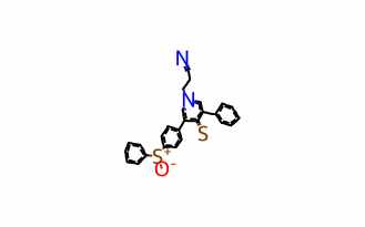 N#CCCn1cc(-c2ccccc2)c(=S)c(-c2ccc([S+]([O-])c3ccccc3)cc2)c1